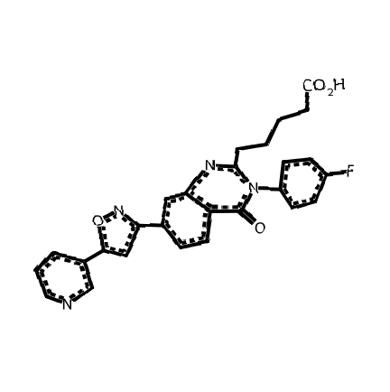 O=C(O)CCCCc1nc2cc(-c3cc(-c4cccnc4)on3)ccc2c(=O)n1-c1ccc(F)cc1